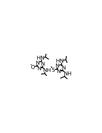 COc1nc(NC(C)C)nc(NC(C)C)n1.CSc1nc(NC(C)C)nc(NC(C)C)n1